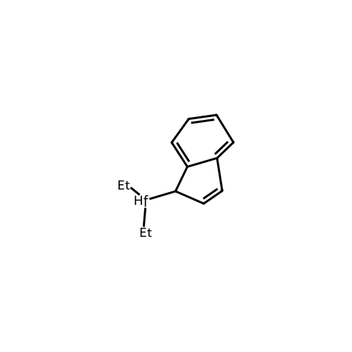 C[CH2][Hf]([CH2]C)[CH]1C=Cc2ccccc21